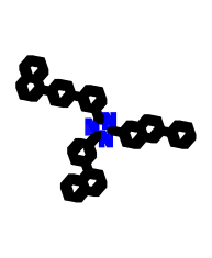 c1ccc(-c2ccc3cc(-c4nc(-c5cccc(-c6ccc(-c7cccc8ccccc78)cc6)c5)nc(-c5cccc(-c6cccc7ccccc67)c5)n4)ccc3c2)cc1